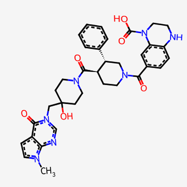 Cn1ccc2c(=O)n(CC3(O)CCN(C(=O)[C@@H]4CCN(C(=O)c5ccc6c(c5)N(C(=O)O)CCN6)C[C@H]4c4ccccc4)CC3)cnc21